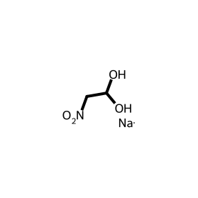 O=[N+]([O-])CC(O)O.[Na]